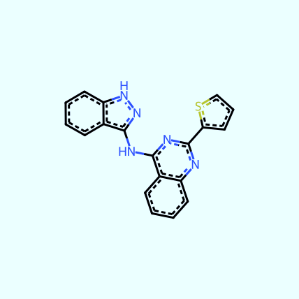 c1csc(-c2nc(Nc3n[nH]c4ccccc34)c3ccccc3n2)c1